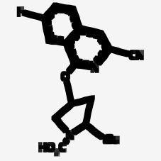 CC(C)(C)C1CC(Oc2nc(C#N)cc3ccc(F)cc23)CN1C(=O)O